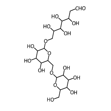 O=CCC(O)C(O)C(O)C(O)COC1OC(COC2OC(CO)C(O)C(O)C2O)C(O)C(O)C1O